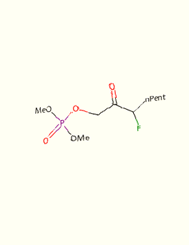 CCCCCC(F)C(=O)COP(=O)(OC)OC